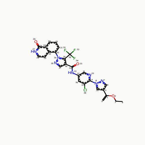 C=C(OCC)c1cnn(-c2ncc(NC(=O)c3cnn(-c4cccc5c(=O)[nH]ccc45)c3C(F)(F)F)cc2Cl)c1